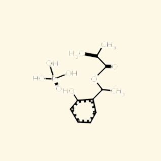 C=C(C)C(=O)OC(C)c1ccccc1O.O=P(O)(O)O